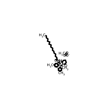 CCCCCCCCCCCCCCCCC(=O)NCC[N+](CN1CCCCC1=O)(c1ccc(C)cc1C)c1ccc(C)cc1C.CS(=O)(=O)[O-]